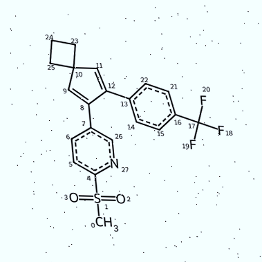 CS(=O)(=O)c1ccc(C2=CC3(C=C2c2ccc(C(F)(F)F)cc2)CCC3)cn1